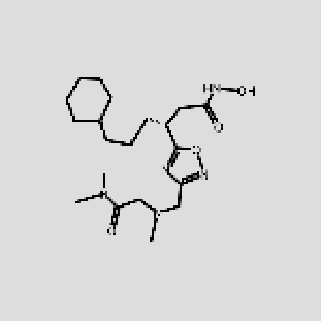 CN(CC(=O)N(C)C)Cc1noc([C@H](CCCC2CCCCC2)CC(=O)NO)n1